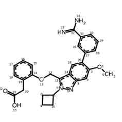 COc1cc2nn(C3CCC3)c(COc3ccccc3CC(=O)O)c2cc1-c1cccc(C(=N)N)c1